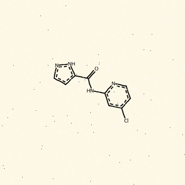 O=C(Nc1cc(Cl)ccn1)c1ccn[nH]1